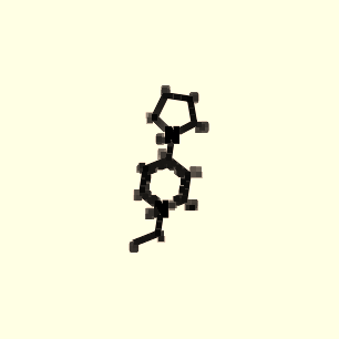 CC[n+]1ccc(N2CCCC2)cc1